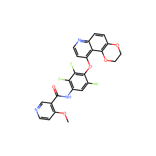 COc1ccncc1C(=O)Nc1cc(F)c(Oc2ccnc3ccc4c(c23)OCCO4)c(F)c1F